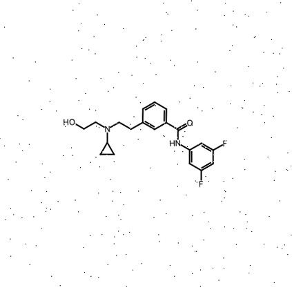 O=C(Nc1cc(F)cc(F)c1)c1cccc(CCN(CCO)C2CC2)c1